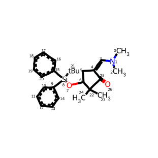 CN(C)C=C1CC(O[Si](c2ccccc2)(c2ccccc2)C(C)(C)C)C(C)(C)C1=O